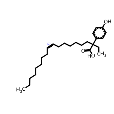 CCCCCCCC/C=C\CCCCCCC(CC)(C(=O)O)c1ccc(O)cc1